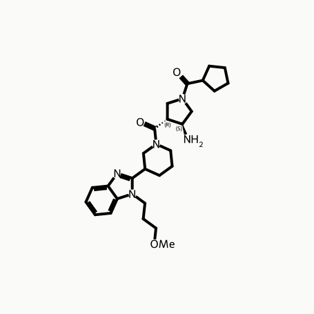 COCCCn1c(C2CCCN(C(=O)[C@@H]3CN(C(=O)C4CCCC4)C[C@H]3N)C2)nc2ccccc21